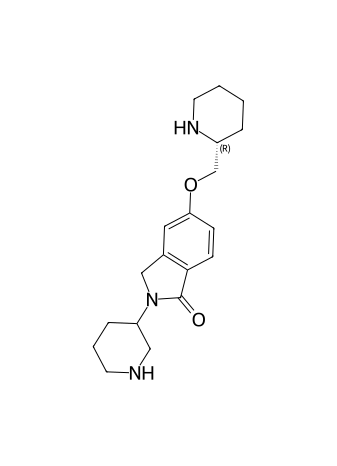 O=C1c2ccc(OC[C@H]3CCCCN3)cc2CN1C1CCCNC1